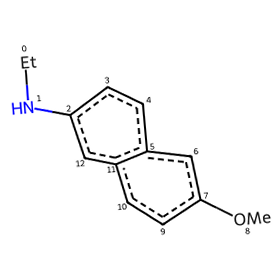 CCNc1ccc2cc(OC)ccc2c1